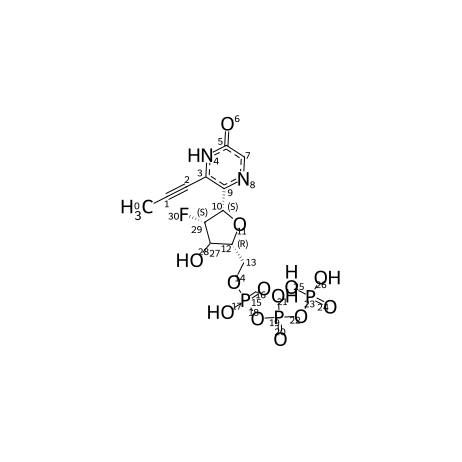 CC#Cc1[nH]c(=O)cnc1[C@@H]1O[C@H](COP(=O)(O)OP(=O)(O)OP(=O)(O)O)C(O)[C@@H]1F